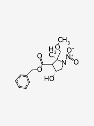 COC[C@]1(C)C(C(=O)OCc2ccccc2)[C@@H](O)CN1[N+](=O)[O-]